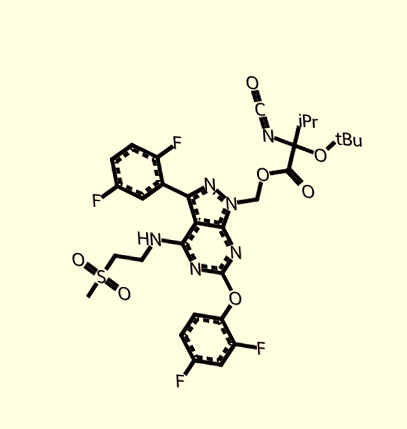 CC(C)C(N=C=O)(OC(C)(C)C)C(=O)OCn1nc(-c2cc(F)ccc2F)c2c(NCCS(C)(=O)=O)nc(Oc3ccc(F)cc3F)nc21